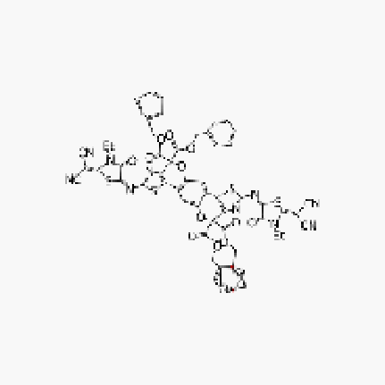 CCN1C(=O)/C(=N\c2nc3c(s2)-c2cc4c(cc2OC3(C(=O)OCc2ccccc2)C(=O)OCc2ccccc2)-c2sc(/N=C3/SC(=C(C#N)C#N)N(CC)C3=O)nc2C(C(=O)OCc2ccccc2)(C(=O)OCc2ccccc2)O4)SC1=C(C#N)C#N